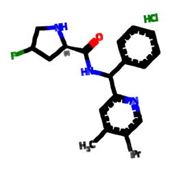 Cc1cc(C(NC(=O)[C@H]2CC(F)CN2)c2ccccc2)ncc1C(C)C.Cl